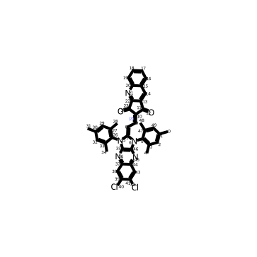 Cc1cc(C)c(N2C(=C/C=C3/C(=O)c4cc5ccccc5nc4C3=O)N(c3c(C)cc(C)cc3C)c3nc4cc(Cl)c(Cl)cc4nc32)c(C)c1